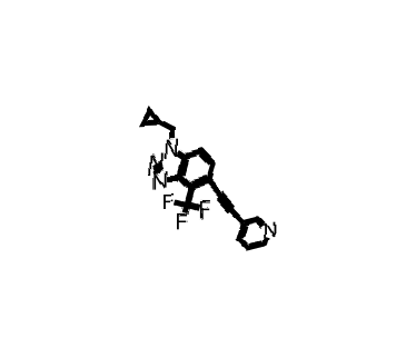 FC(F)(F)c1c(C#Cc2cccnc2)ccc2c1nnn2CC1CC1